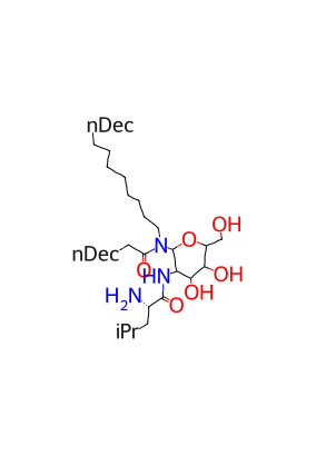 CCCCCCCCCCCCCCCCCCN(C(=O)CCCCCCCCCCC)C1OC(CO)C(O)C(O)C1NC(=O)[C@@H](N)CC(C)C